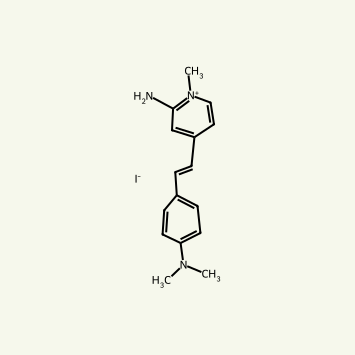 CN(C)c1ccc(C=Cc2cc[n+](C)c(N)c2)cc1.[I-]